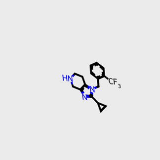 FC(F)(F)c1ccccc1Cn1c(C2CC2)nc2c1CCNC2